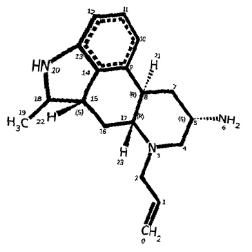 C=CCN1C[C@@H](N)C[C@@H]2c3cccc4c3[C@H](C[C@H]21)C(C)N4